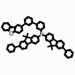 CC1(C)c2cc(-c3ccccc3)ccc2-c2ccc(N(c3cccc(-c4cccc(-c5ccc6oc7ccccc7c6c5)c4)c3)c3ccc4c(c3)C(C)(C)c3cc(-c5ccccc5)ccc3-4)cc21